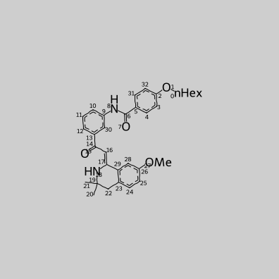 CCCCCCOc1ccc(C(=O)Nc2cccc(C(=O)C=C3NC(C)(C)Cc4ccc(OC)cc43)c2)cc1